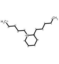 CCCCCC1CCCCN1CCCCC